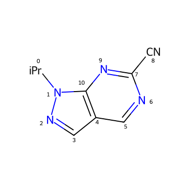 CC(C)n1ncc2cnc(C#N)nc21